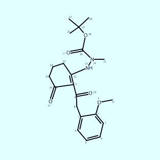 COc1ccccc1CC(=O)C1=C(NN(C)C(=O)OC(C)(C)C)CCCC1=O